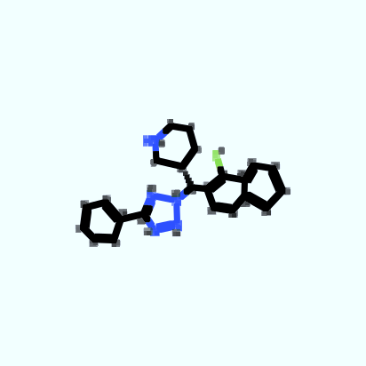 Fc1c(C([C@H]2CCCNC2)n2nnc(-c3ccccc3)n2)ccc2ccccc12